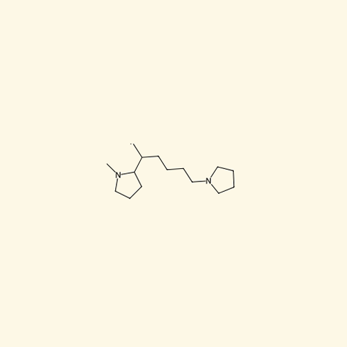 [CH2]C(CCCCN1CCCC1)C1CCCN1C